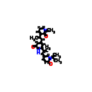 CC(Cc1ccc(=O)n(C(C)C)c1)c1cc(CC(C)c2cccn(C)c2=O)cc(=O)[nH]1